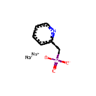 O=P([O-])([O-])Cc1ccccn1.[Na+].[Na+]